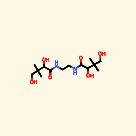 CC(C)(CO)C(O)C(=O)NCCNC(=O)C(O)C(C)(C)CO